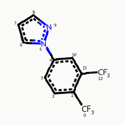 FC(F)(F)c1ccc(-n2c[c]cn2)cc1C(F)(F)F